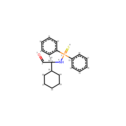 C[C@](C=O)(NP(=S)(c1ccccc1)c1ccccc1)C1CCCCC1